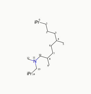 CC(C)CCCC(C)CCC(C)CN(C)CC(C)C